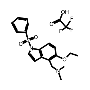 CCOc1ccc2c(ccn2S(=O)(=O)c2ccccc2)c1CN(C)C.O=C(O)C(F)(F)F